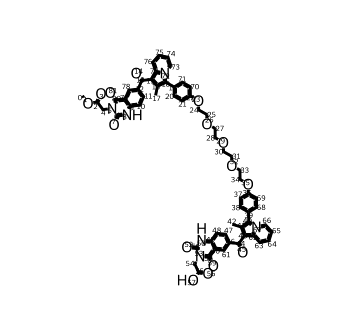 COC(=O)Cn1c(=O)[nH]c2ccc(C(=O)c3c(C)c(-c4ccc(OCCOCCOCCOCCOc5ccc(-c6c(C)c(C(=O)c7ccc8[nH]c(=O)n(CC(=O)O)c(=O)c8c7)c7ccccn67)cc5)cc4)n4ccccc34)cc2c1=O